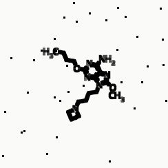 CCCCOc1nc(N)c2nc(OC)n(CCCCN3CCC3)c2n1